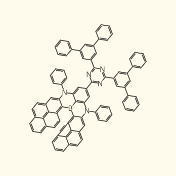 c1ccc(-c2cc(-c3ccccc3)cc(-c3nc(-c4cc(-c5ccccc5)cc(-c5ccccc5)c4)nc(-c4cc5c6c(c4)N(c4ccccc4)c4cc7ccc8cccc9ccc(c4B6c4c(cc6ccc%10cccc%11ccc4c6c%10%11)N5c4ccccc4)c7c89)n3)c2)cc1